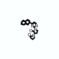 O=C1C(N2CCCC2=O)CCN1c1nccc(-c2ccc3ccccc3c2)n1